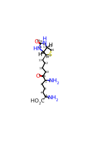 NC(CCC[C@H](N)C(=O)O)C(=O)CCCC[C@@H]1SC[C@@H]2NC(=O)N[C@@H]21